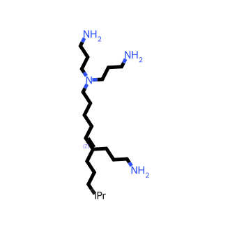 CC(C)CCC/C(=C/CCCCN(CCCN)CCCN)CCCN